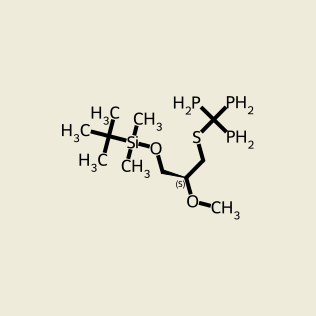 CO[C@@H](CO[Si](C)(C)C(C)(C)C)CSC(P)(P)P